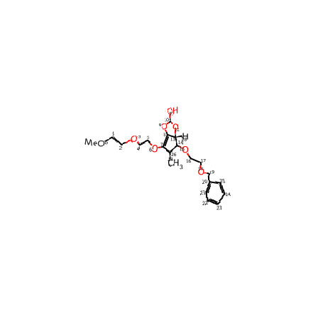 COCCOCCOC1=C2OC(O)O[C@@H]2C(OCCOCc2ccccc2)C1C